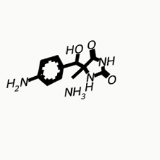 CC1(C(O)c2ccc(N)cc2)NC(=O)NC1=O.N